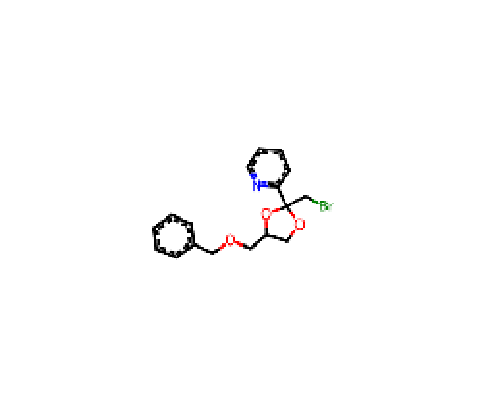 BrCC1(c2ccccn2)OCC(COCc2ccccc2)O1